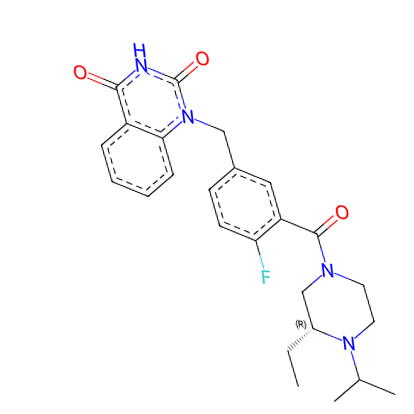 CC[C@@H]1CN(C(=O)c2cc(Cn3c(=O)[nH]c(=O)c4ccccc43)ccc2F)CCN1C(C)C